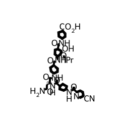 CC(C)Oc1c(NC(=O)c2ccc(NC(=O)[C@H](CC(N)=O)NC(=O)c3ccc(NC(=O)c4ccc(C#N)cn4)cc3)cc2)ccc(C(=O)Nc2ccc(C(=O)O)cc2)c1O